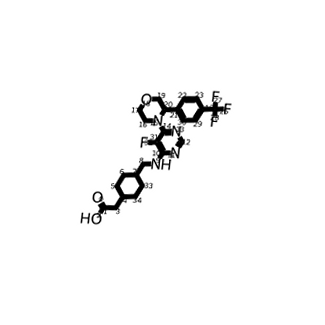 O=C(O)CC1CCC(CNc2ncnc(N3CCOCC3c3ccc(C(F)(F)F)cc3)c2F)CC1